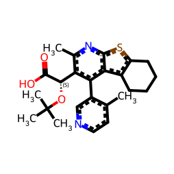 Cc1ccncc1-c1c([C@H](OC(C)(C)C)C(=O)O)c(C)nc2sc3c(c12)CCCC3